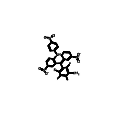 Cc1c(F)c(F)c(/C(=C2\C=C([N+](=O)[O-])C=CC2)c2cc([N+](=O)[O-])ccc2Nc2ccc([N+](=O)[O-])cc2)c(F)c1P